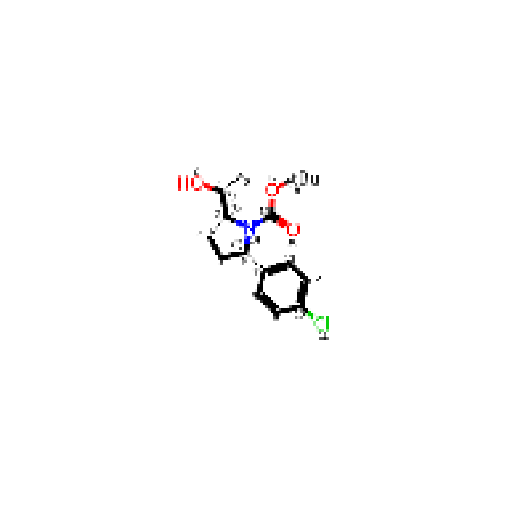 C[C@@H](O)[C@H]1CC[C@@H](c2ccc(Cl)cc2)N1C(=O)OC(C)(C)C